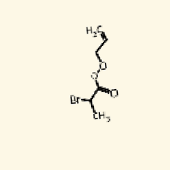 C=CCOOC(=O)C(C)Br